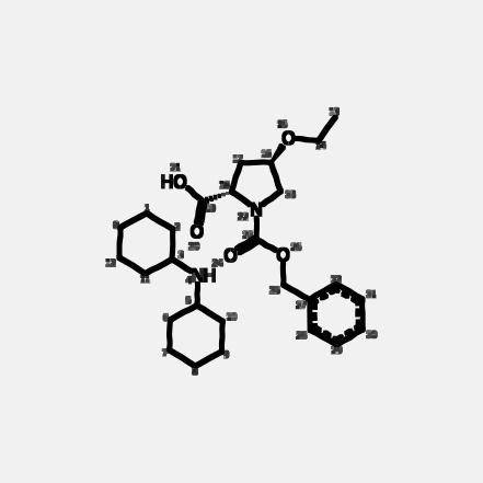 C1CCC(NC2CCCCC2)CC1.CCO[C@@H]1C[C@@H](C(=O)O)N(C(=O)OCc2ccccc2)C1